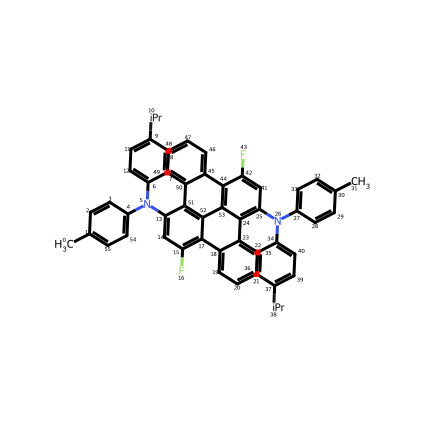 Cc1ccc(N(c2ccc(C(C)C)cc2)c2cc(F)c3c4ccccc4c4c(N(c5ccc(C)cc5)c5ccc(C(C)C)cc5)cc(F)c5c6ccccc6c2c3c54)cc1